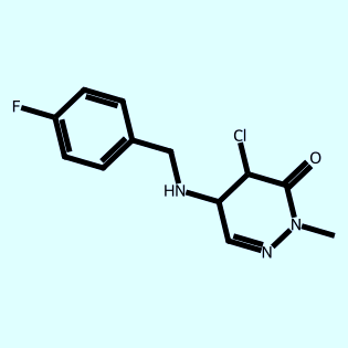 CN1N=CC(NCc2ccc(F)cc2)C(Cl)C1=O